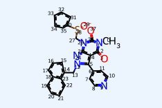 Cn1c(=O)c2c(-c3ccncc3)n(Cc3cccc4ccccc34)nc2n(C[S+]([O-])c2ccccc2)c1=O